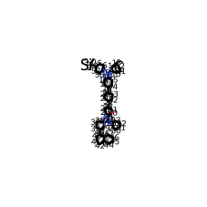 C[Si](C)(C)c1ccc(N(c2ccccc2)c2ccc(-c3ccc(-c4ccc(N(c5ccccc5)c5cccc(-c6cccc7ccccc67)c5)cc4)cc3)cc2)cc1